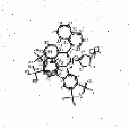 CC(C)(C)c1cc2c(cc1C(C)(C)C)[CH]([Hf+2]([C]1=CC=CC1)=[C](c1cccc3ccccc13)c1cccc3ccccc13)c1cc(C(C)(C)C)c(C(C)(C)C)cc1-2.[Cl-].[Cl-]